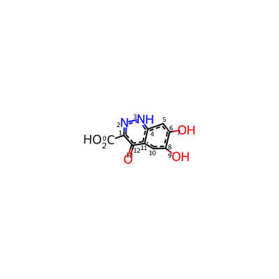 O=C(O)c1n[nH]c2cc(O)c(O)cc2c1=O